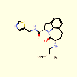 CC[C@H](C)[C@@H](CN[C@H]1CCc2cccc3c2N(C1=O)[C@H](C(=O)NCc1cncs1)C3)NC(C)=O